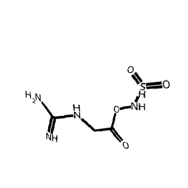 N=C(N)NCC(=O)ON[SH](=O)=O